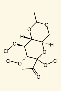 CC(=O)C1(OCl)O[C@@H]2COC(C)O[C@H]2[C@H](OCl)[C@H]1OCl